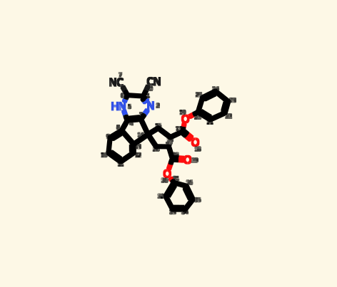 N#CC1=NC2=C(NC1C#N)c1ccccc1C2(CCC(=O)Oc1ccccc1)CCC(=O)Oc1ccccc1